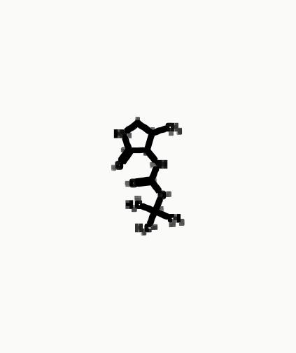 CC1CNC(=O)C1NC(=O)OC(C)(C)C